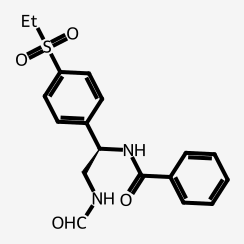 CCS(=O)(=O)c1ccc([C@H](CNC=O)NC(=O)c2ccccc2)cc1